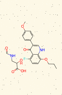 CCCOc1ccc(F)c2c(=O)c(-c3ccc(OC)cc3)c[nH]c12.O=CNCC(O)C(=O)O